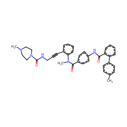 Cc1ccc(-c2ccccc2C(=O)Nc2ccc(C(=O)N(C)c3ccccc3C#CCNC(=O)N3CCN(C)CC3)cc2)cc1